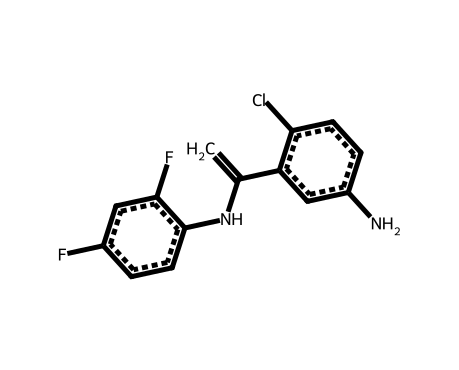 C=C(Nc1ccc(F)cc1F)c1cc(N)ccc1Cl